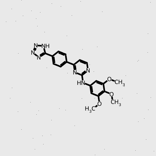 COc1cc(Nc2nccc(-c3ccc(-c4nnn[nH]4)cc3)n2)cc(OC)c1OC